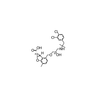 Cc1ccc(COC[C@H](O)CNC(C)(C)Cc2ccc(Cl)c(Cl)c2)c2c1OC1[C@H](C(=O)O)[C@@H]21